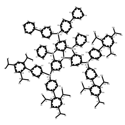 CC(C)c1cc(C(C)C)c(-c2ccc(N(c3ccc(-c4c(C(C)C)cc(C(C)C)cc4C(C)C)cc3)c3ccc4c(c3)N(c3ccccc3)c3cc(N(c5ccc(-c6ccccc6)cc5)c5ccc(-c6ccccc6)cc5)cc5c3B4c3ccc(N(c4ccc(-c6c(C(C)C)cc(C(C)C)cc6C(C)C)cc4)c4ccc(-c6c(C(C)C)cc(C(C)C)cc6C(C)C)cc4)cc3N5c3ccccc3)cc2)c(C(C)C)c1